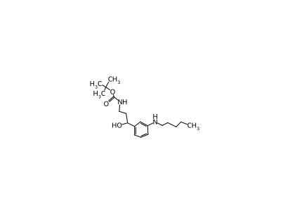 CCCCCNc1cccc(C(O)CCNC(=O)OC(C)(C)C)c1